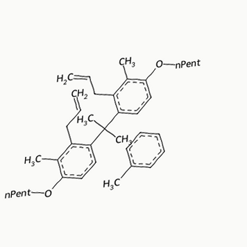 C=CCc1c(C(C)(C)c2ccc(OCCCCC)c(C)c2CC=C)ccc(OCCCCC)c1C.Cc1ccccc1